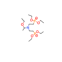 CCOC(C)N(CCP(=O)(OCC)OCC)CCP(=O)(OCC)OCC